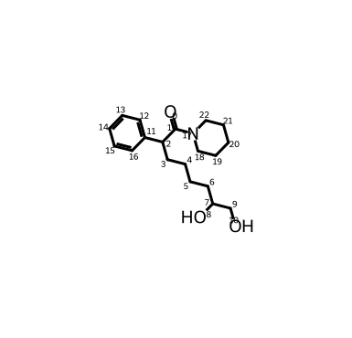 O=C(C(CCCCC(O)CO)c1ccccc1)N1CCCCC1